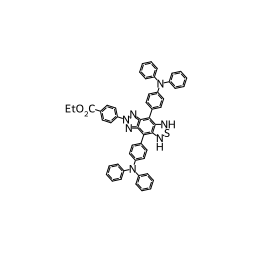 CCOC(=O)c1ccc(-n2nc3c(-c4ccc(N(c5ccccc5)c5ccccc5)cc4)c4c(c(-c5ccc(N(c6ccccc6)c6ccccc6)cc5)c3n2)NSN4)cc1